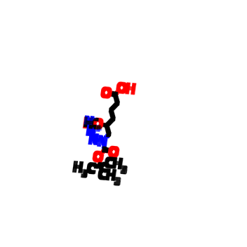 CC(C)(C)OC(=O)N(CC(O)CCCC(=O)O)N=[N+]=[N-]